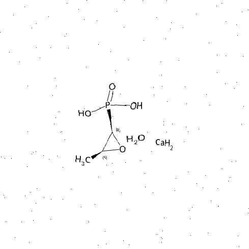 C[C@@H]1O[C@@H]1P(=O)(O)O.O.[CaH2]